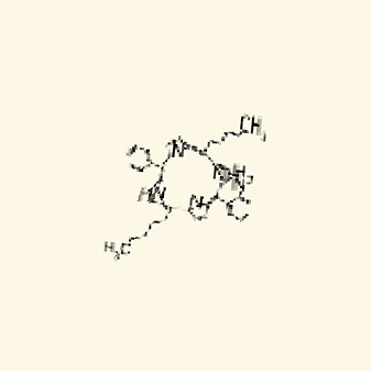 CCCCCc1c2nc(c(-c3ccccc3N)c3ccc([nH]3)c(CCCCC)c3nc(c(-c4ccccc4)c4ccc1[nH]4)C=C3)C=C2